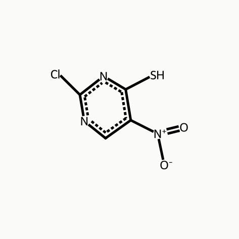 O=[N+]([O-])c1cnc(Cl)nc1S